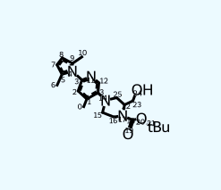 Cc1cc(-n2c(C)ccc2C)ncc1N1CCN(C(=O)OC(C)(C)C)C(CO)C1